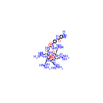 N=C(N)NCCC[C@H](NC(=O)[C@H](CCCNC(=N)N)NC(=O)[C@H](CCCNC(=N)N)NC(=O)[C@H](CCCNC(=N)N)NC(=O)[C@H](CCCNC(=N)N)NC(=O)CNC(=O)CNC(=O)c1ccc(NC(=O)c2ccc3[nH]nnc3c2)cc1)C(N)=O